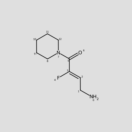 NCC=C(F)C(=O)N1C[CH]CCC1